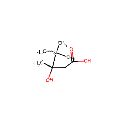 [CH2]C(O)(CC(=O)O)[Si](C)(C)C